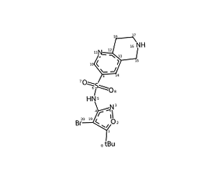 CC(C)(C)c1onc(NS(=O)(=O)c2cnc3c(c2)CNCC3)c1Br